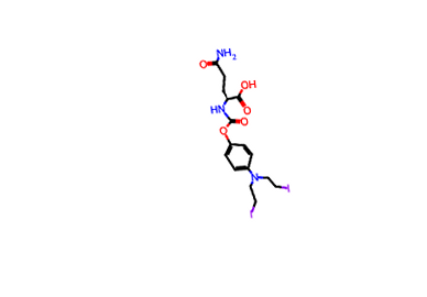 NC(=O)CC[C@H](NC(=O)Oc1ccc(N(CCI)CCI)cc1)C(=O)O